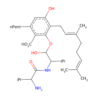 CCCCCc1cc(O)c(C/C=C(\C)CCC=C(C)C)c(OC(O)C(NC(=O)C(N)C(C)C)C(C)C)c1C(=O)O